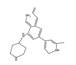 C=C/C=c1/cc(C2=CCNC(C)=C2)cc(NC2CCNCC2)/c1=C/N